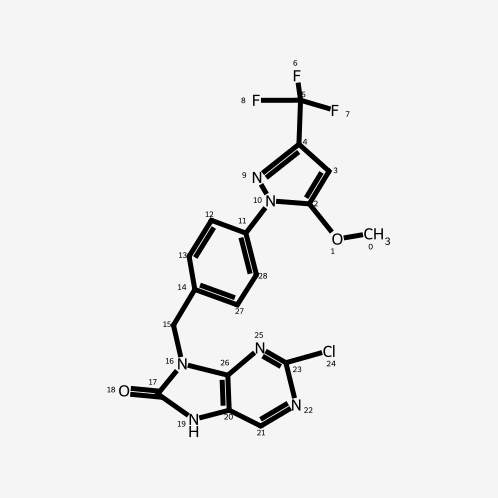 COc1cc(C(F)(F)F)nn1-c1ccc(Cn2c(=O)[nH]c3cnc(Cl)nc32)cc1